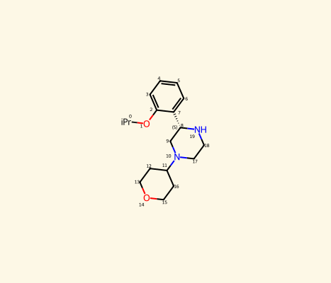 CC(C)Oc1ccccc1[C@H]1CN(C2CCOCC2)CCN1